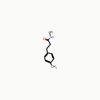 CCCNC(=O)CCc1ccc(C)cc1